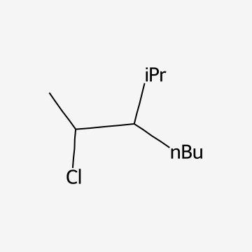 CCCCC(C(C)C)C(C)Cl